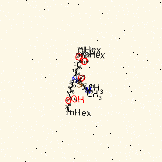 CCCCCC/C=C\COC(O)CCCCCN(CCCCCC(=O)OC(CCCCCC)CCCCCC)C(=O)SCCN(C)C